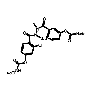 CNC(=O)Oc1cccc(C(=O)N(C)N(C(=O)c2ccc(OC(=O)NOC(C)=O)cc2Cl)C(C)(C)C)c1